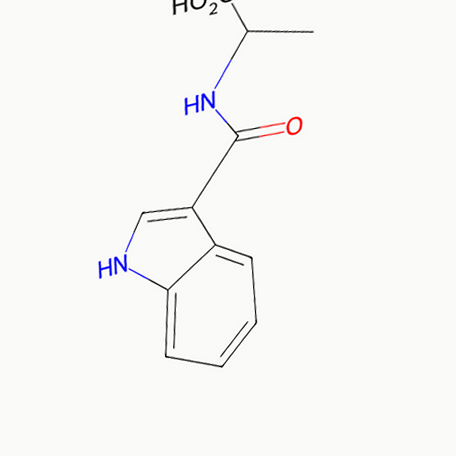 CC(NC(=O)c1c[nH]c2ccccc12)C(=O)O